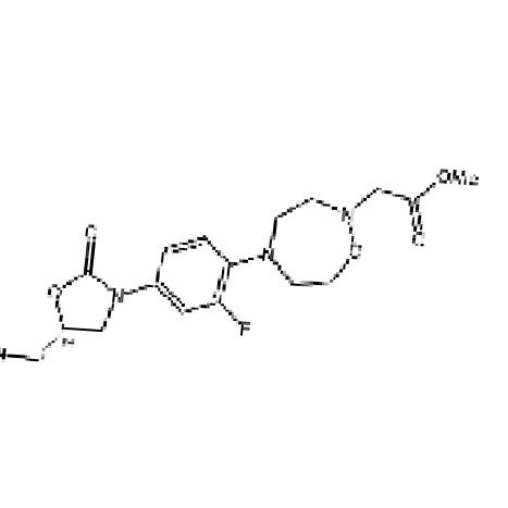 COC(=O)CN1CCN(c2ccc(N3C[C@H](CN)OC3=O)cc2F)CCO1